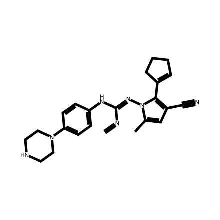 C=N/C(=N\n1c(C)cc(C#N)c1C1=CCCC1)Nc1ccc(N2CCNCC2)cc1